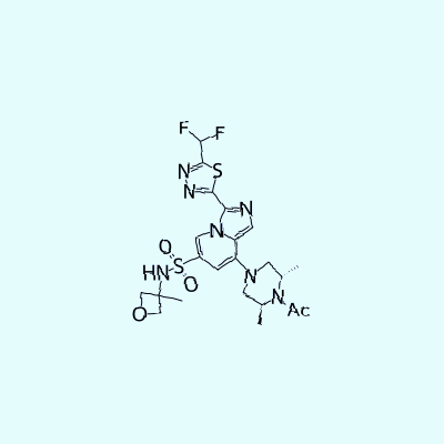 CC(=O)N1[C@@H](C)CN(c2cc(S(=O)(=O)NC3(C)COC3)cn3c(-c4nnc(C(F)F)s4)ncc23)C[C@@H]1C